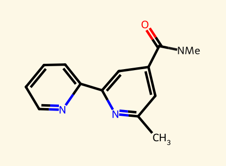 CNC(=O)c1cc(C)nc(-c2ccccn2)c1